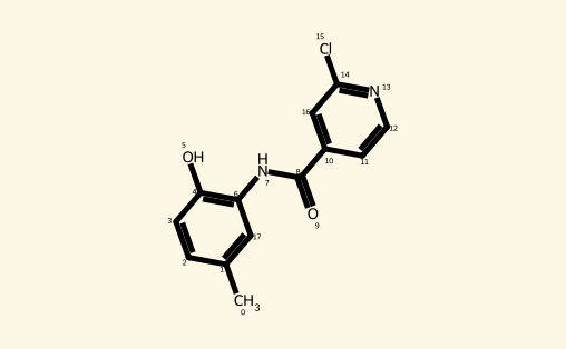 Cc1ccc(O)c(NC(=O)c2ccnc(Cl)c2)c1